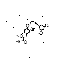 CCO[C@@H](Cc1ccc(OC/C=C\C#Cc2cc(OC)cc(OC)c2)c(Br)c1)C(=O)O